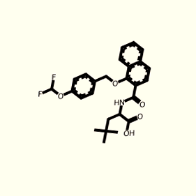 CC(C)(C)CC(NC(=O)c1ccc2ccccc2c1OCc1ccc(OC(F)F)cc1)C(=O)O